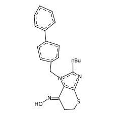 CCCCc1nc2c(n1Cc1ccc(-c3ccccc3)cc1)C(=NO)CCS2